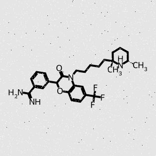 C[C@H]1CCC[C@@](C)(CCCCCN2C(=O)C(c3cccc(C(=N)N)c3)Oc3ccc(C(F)(F)F)cc32)N1